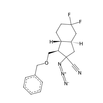 N#CC1(N=[N+]=[N-])C[C@@H]2CC(F)(F)CC[C@H]2[C@@H]1COCc1ccccc1